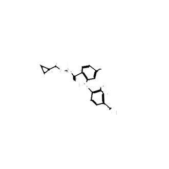 C#Cc1ccc(Nc2cc(F)ccc2C(=O)NOCC2CC2)c(Cl)c1